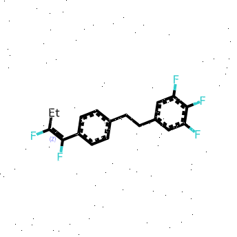 CC/C(F)=C(/F)c1ccc(CCc2cc(F)c(F)c(F)c2)cc1